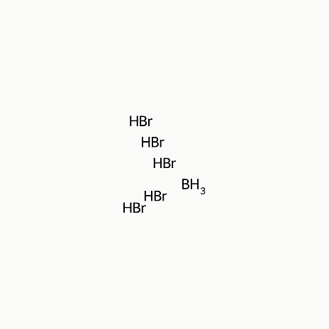 B.Br.Br.Br.Br.Br